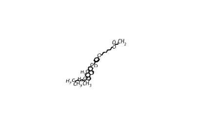 C=CC(=O)OCCCCCCOc1ccc(C(=O)O[C@H]2CC[C@@]3(C)C(=CCC4C5CCC(C(C)CCCC(C)C)[C@@]5(C)CCC43)C2)cc1